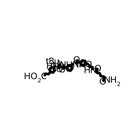 CC(C)(C)C[C@H](NC(=O)c1cccc(CNC(=O)c2ccc(OCCNC(=O)CCCCC(N)=O)cc2)c1)C(=O)Nc1ccc(CCC(=O)O)cc1